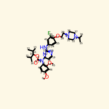 COc1ccc(N(C(=O)OC(C(C)C)C(C)C)c2ccnc(Nc3ccc(OCCN4CCN(C(C)C)CC4)c(F)c3)n2)c(OC)c1